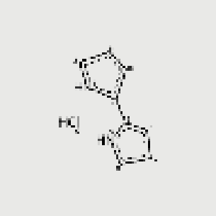 Cl.c1c[nH]c(-c2ccc[nH]2)c1